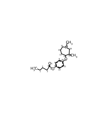 CCCCC(=O)Oc1ccc(OC2CCCN(C)CC2C)cc1